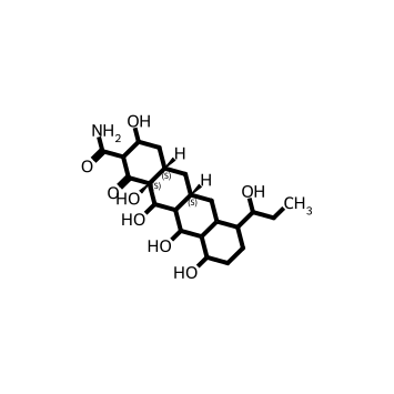 CCC(O)C1CCC(O)C2C(O)C3C(O)[C@]4(O)C(=O)C(C(N)=O)C(O)C[C@@H]4C[C@@H]3CC12